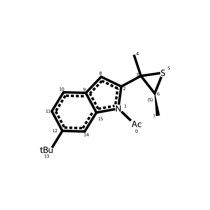 CC(=O)n1c(C2(C)S[C@H]2C)cc2ccc(C(C)(C)C)cc21